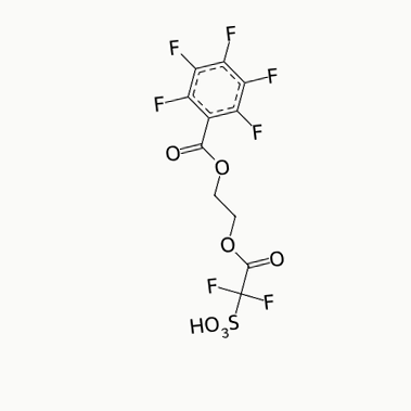 O=C(OCCOC(=O)C(F)(F)S(=O)(=O)O)c1c(F)c(F)c(F)c(F)c1F